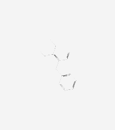 CCC(CC)=C(C=O)Cc1ccccc1